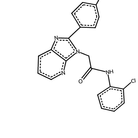 O=C(Cn1c(-c2ccc(Br)cc2)nc2cccnc21)Nc1ccccc1Cl